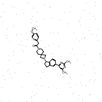 COc1ccc(CC(=O)N2CCC3(CC2)CN([C@@H]2CCc4cc(-c5cc(C)nc(C)n5)ccc42)C3)nc1